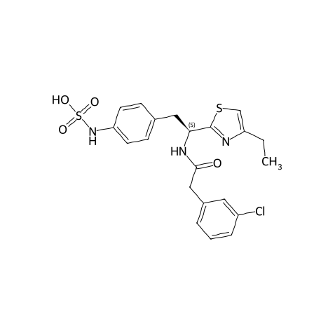 CCc1csc([C@H](Cc2ccc(NS(=O)(=O)O)cc2)NC(=O)Cc2cccc(Cl)c2)n1